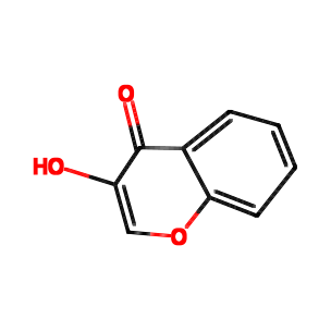 O=c1c(O)coc2ccccc12